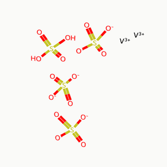 O=S(=O)(O)O.O=S(=O)([O-])[O-].O=S(=O)([O-])[O-].O=S(=O)([O-])[O-].[V+3].[V+3]